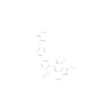 CCCc1nn(C)c2c(=O)[nH]c(-c3cc(-c4ccc(CC(=O)NO)cc4)ccc3OCC)nc12